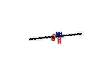 CCCCCCCCCCCCC/C=C/C(O)C(N)COC(=O)CCCCCCCCCCCCCCCC